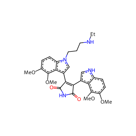 CCNCCCn1cc(C2=C(c3c[nH]c4ccc(OC)c(OC)c34)C(=O)NC2=O)c2c(OC)c(OC)ccc21